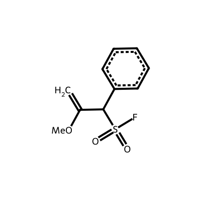 C=C(OC)C(c1ccccc1)S(=O)(=O)F